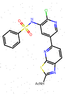 CC(=O)Nc1nc2ccc(-c3cnc(Cl)c(NS(=O)(=O)c4ccccc4)c3)nc2s1